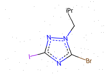 CC(C)Cn1nc(I)nc1Br